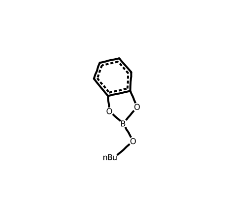 CCCCOB1Oc2ccccc2O1